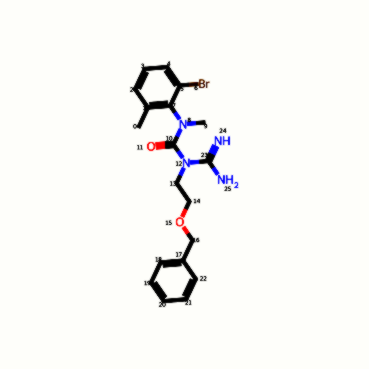 Cc1cccc(Br)c1N(C)C(=O)N(CCOCc1ccccc1)C(=N)N